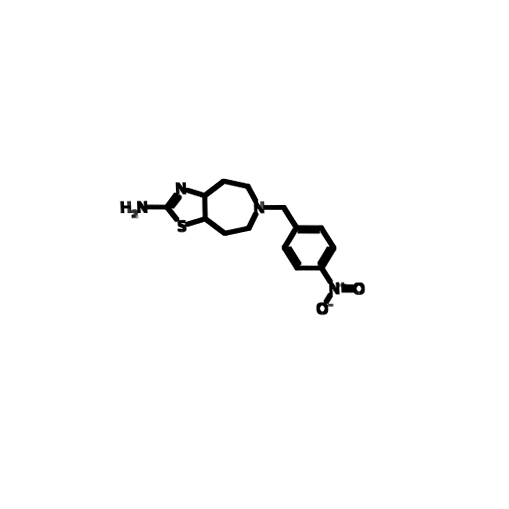 NC1=NC2CCN(Cc3ccc([N+](=O)[O-])cc3)CCC2S1